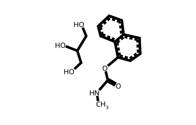 CNC(=O)Oc1cccc2ccccc12.OCC(O)CO